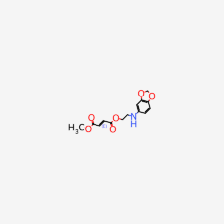 COC(=O)/C=C/C(=O)OCCNc1ccc2c(c1)OCO2